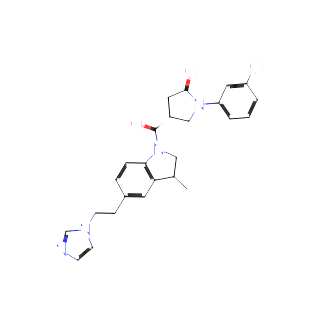 CC1CN(C(=O)[C@H]2CC(=O)N(c3cccc(Cl)c3)C2)c2ccc(CCn3ccnc3)cc21